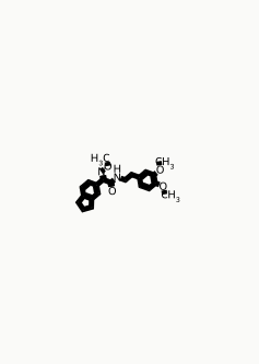 CON=C(C(=O)NCCc1ccc(OC)c(OC)c1)c1ccc2c(c1)CCC2